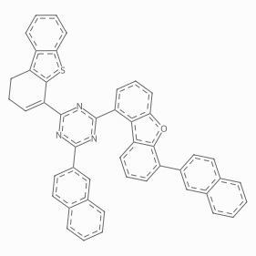 C1=C(c2nc(-c3ccc4ccccc4c3)nc(-c3cccc4oc5c(-c6ccc7ccccc7c6)cccc5c34)n2)c2sc3ccccc3c2CC1